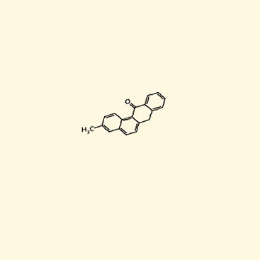 Cc1ccc2c3c(ccc2c1)Cc1ccccc1C3=O